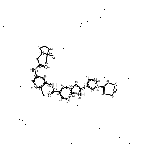 Cc1ncc(NC(=O)CN2CCCC2(C)C)cc1NC(=O)c1cnc2[nH]c(-c3cnn(C4=CCOCC4)c3)cc2c1